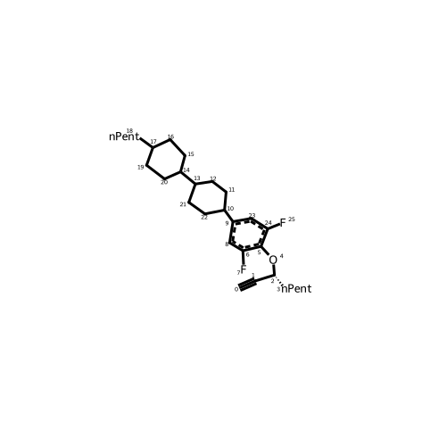 C#C[C@@H](CCCCC)Oc1c(F)cc(C2CCC(C3CCC(CCCCC)CC3)CC2)cc1F